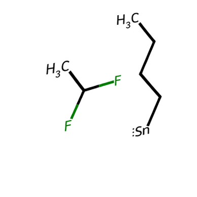 CC(F)F.CCC[CH2][Sn]